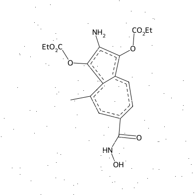 CCOC(=O)Oc1c2ccc(C(=O)NO)cc(C)c-2c(OC(=O)OCC)c1N